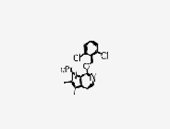 CCCn1c(C)c(C)c2ccnc(OCc3c(Cl)cccc3Cl)c21